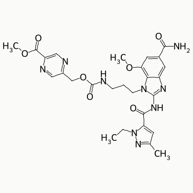 CCn1nc(C)cc1C(=O)Nc1nc2cc(C(N)=O)cc(OC)c2n1CCCNC(=O)OCc1cnc(C(=O)OC)cn1